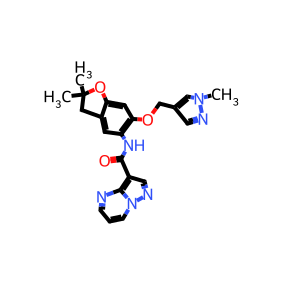 Cn1cc(COc2cc3c(cc2NC(=O)c2cnn4cccnc24)CC(C)(C)O3)cn1